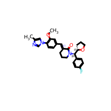 COc1cc(/C=C2\CCCN([C@H](c3ccc(F)cc3)[C@@H]3CCCO3)C2=O)ccc1-n1cnc(C)c1